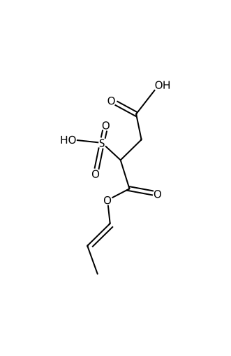 CC=COC(=O)C(CC(=O)O)S(=O)(=O)O